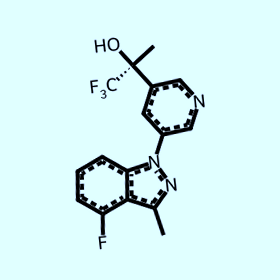 Cc1nn(-c2cncc([C@](C)(O)C(F)(F)F)c2)c2cccc(F)c12